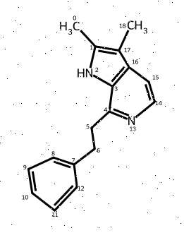 Cc1[nH]c2c(CCc3ccccc3)nccc2c1C